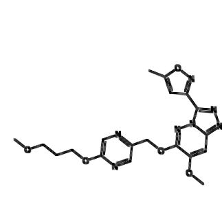 COCCCOc1cnc(COc2nn3c(-c4cc(C)on4)nnc3cc2OC)cn1